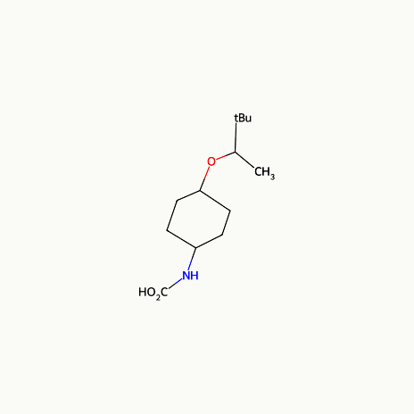 CC(OC1CCC(NC(=O)O)CC1)C(C)(C)C